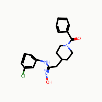 O=C(c1ccccc1)N1CCC(C/C(=N\O)Nc2cccc(Cl)c2)CC1